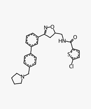 O=C(NCC1CC(c2cccc(-c3ccc(CN4CCCC4)cc3)c2)=NO1)c1ccc(Cl)s1